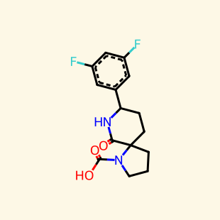 O=C(O)N1CCCC12CCC(c1cc(F)cc(F)c1)NC2=O